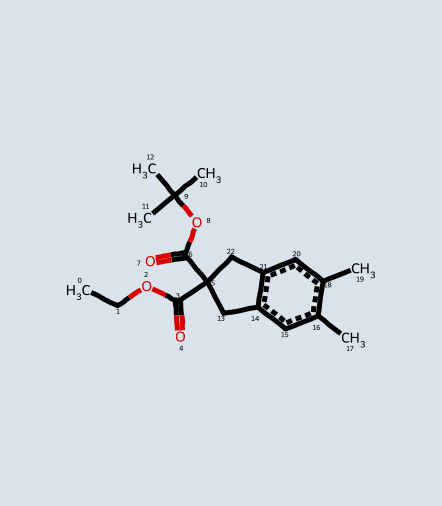 CCOC(=O)C1(C(=O)OC(C)(C)C)Cc2cc(C)c(C)cc2C1